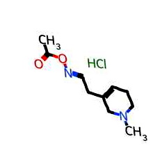 CC(=O)ON=CCC1=CCCN(C)C1.Cl